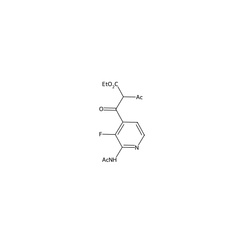 CCOC(=O)C(C(C)=O)C(=O)c1ccnc(NC(C)=O)c1F